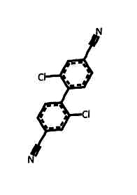 N#Cc1ccc(-c2ccc(C#N)cc2Cl)c(Cl)c1